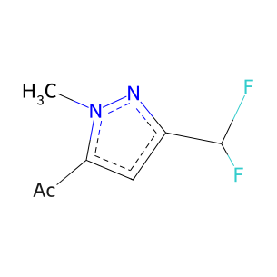 CC(=O)c1cc(C(F)F)nn1C